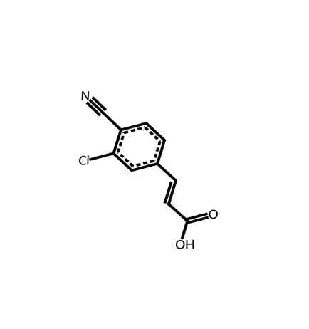 N#Cc1ccc(C=CC(=O)O)cc1Cl